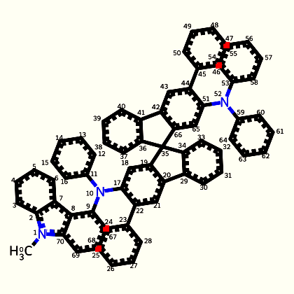 Cn1c2ccccc2c2c(N(c3ccccc3)c3cc4c(cc3-c3ccccc3)-c3ccccc3C43c4ccccc4-c4cc(-c5ccccc5)c(N(c5ccccc5)c5ccccc5)cc43)cccc21